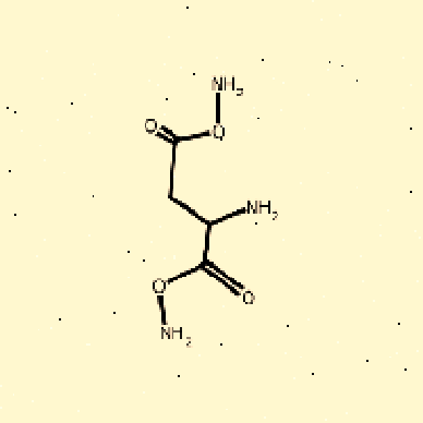 NOC(=O)CC(N)C(=O)ON